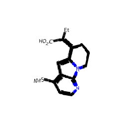 CC/C(C(=O)O)=C1\CCCn2c1cc1c(SC)ccnc12